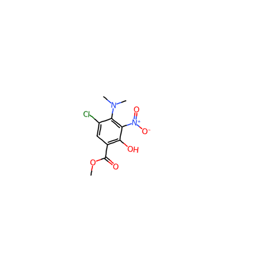 COC(=O)c1cc(Cl)c(N(C)C)c([N+](=O)[O-])c1O